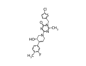 Cc1ccc(C2=CCN(c3nc(C)n(Cc4ccc(Cl)s4)c(=O)n3)C[C@@H]2O)cc1F